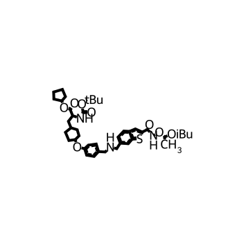 CC(C)COC(C)ONC(=O)c1cc2ccc(CNCc3ccc(OC4CCC(CC(NC(=O)OC(C)(C)C)C(=O)OC5CCCC5)CC4)cc3)cc2s1